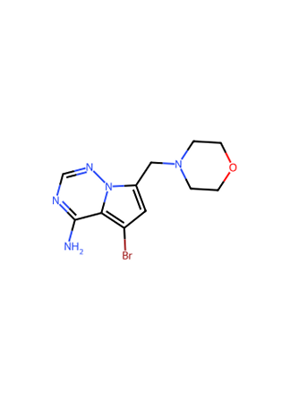 Nc1ncnn2c(CN3CCOCC3)cc(Br)c12